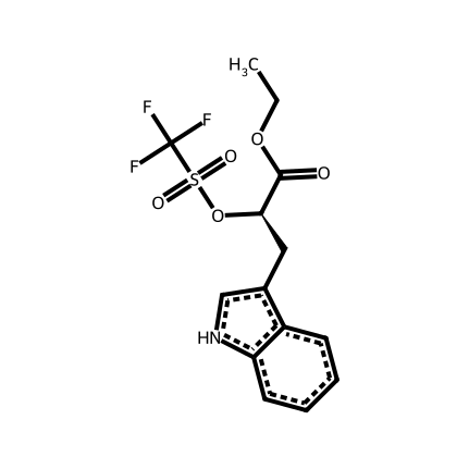 CCOC(=O)[C@@H](Cc1c[nH]c2ccccc12)OS(=O)(=O)C(F)(F)F